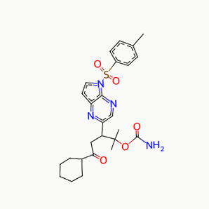 Cc1ccc(S(=O)(=O)n2ccc3nc(C(CC(=O)C4CCCCC4)C(C)(C)OC(N)=O)cnc32)cc1